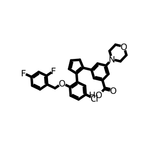 O=C(O)c1cc(C2=C(c3cc(Cl)ccc3OCc3ccc(F)cc3F)C=CC2)cc(N2CCOCC2)c1